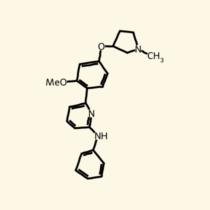 COc1cc(OC2CCN(C)C2)ccc1-c1cccc(Nc2ccccc2)n1